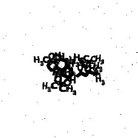 CCCCC(C[C@H]1C[C@H]2CC[C@@]3(C)[C@@H](CC[C@]3(C)O)[C@@H]2[C@H]2OC(C)(C)O[C@H]12)O[Si](C)(C)C(C)(C)C